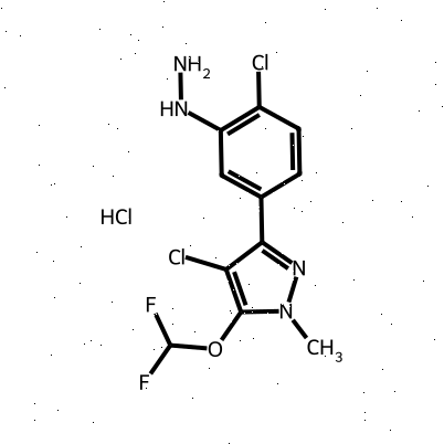 Cl.Cn1nc(-c2ccc(Cl)c(NN)c2)c(Cl)c1OC(F)F